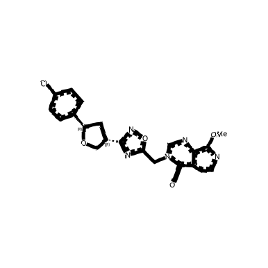 COc1nccc2c(=O)n(Cc3nc([C@@H]4CO[C@@H](c5ccc(Cl)cc5)C4)no3)cnc12